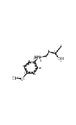 CCOc1ccc(NCCC(C)O)cc1